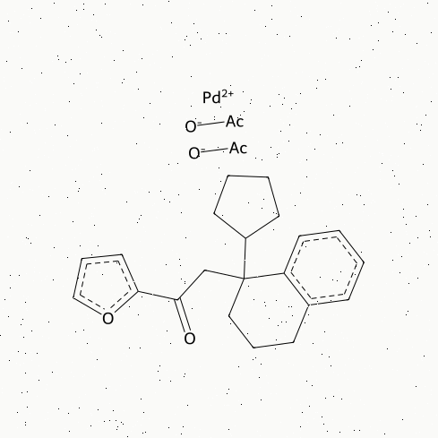 CC(=O)[O-].CC(=O)[O-].O=C(CC1(C2CCCC2)CCCc2ccccc21)c1ccco1.[Pd+2]